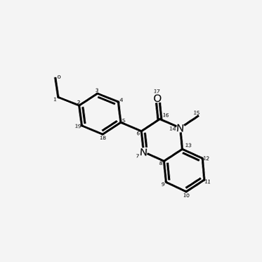 CCc1ccc(-c2nc3ccccc3n(C)c2=O)cc1